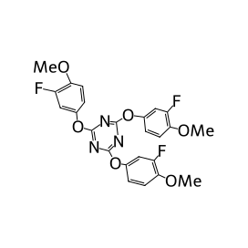 COc1ccc(Oc2nc(Oc3ccc(OC)c(F)c3)nc(Oc3ccc(OC)c(F)c3)n2)cc1F